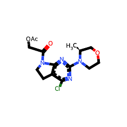 CC(=O)OCC(=O)N1CCc2c(Cl)nc(N3CCOC[C@H]3C)nc21